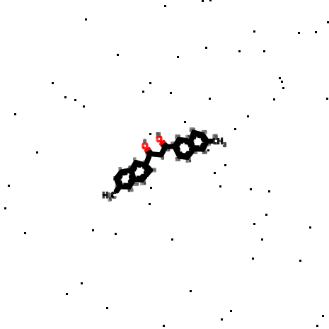 Cc1ccc2cc(C(=O)CC(=O)c3ccc4cc(C)ccc4c3)ccc2c1